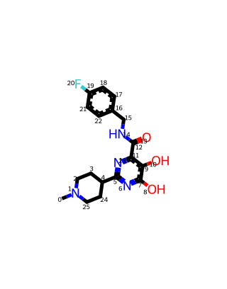 CN1CCC(c2nc(O)c(O)c(C(=O)NCc3ccc(F)cc3)n2)CC1